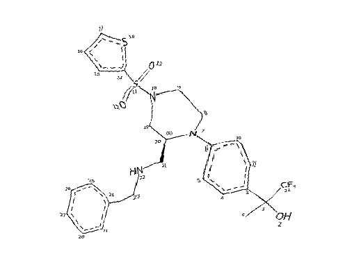 CC(O)(c1ccc(N2CCN(S(=O)(=O)c3cccs3)C[C@@H]2CNCc2ccccc2)cc1)C(F)(F)F